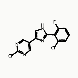 Fc1cccc(Cl)c1-c1nc(-c2cnc(Cl)nc2)c[nH]1